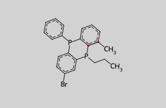 CCCP(CCC)c1cc(Br)ccc1P(c1ccccc1)c1ccccc1